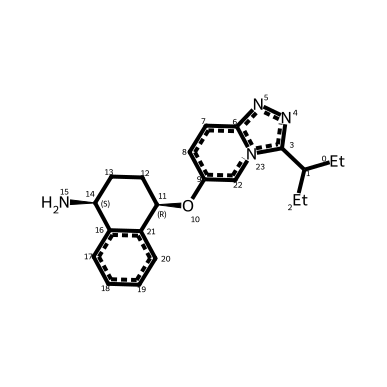 CCC(CC)c1nnc2ccc(O[C@@H]3CC[C@H](N)c4ccccc43)cn12